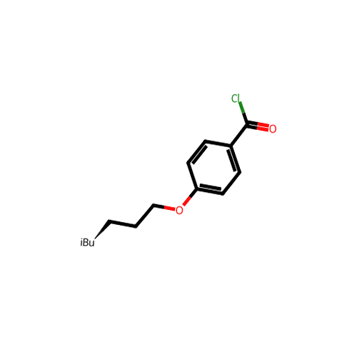 CC[C@H](C)CCCOc1ccc(C(=O)Cl)cc1